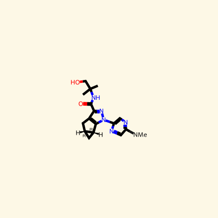 CNc1cnc(-n2nc(C(=O)NC(C)(C)CO)c3c2[C@@H]2C[C@@H]2C3)cn1